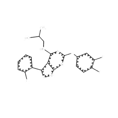 CC(O)CNc1nc(Oc2ccc(F)c(F)c2)nc2[nH]nc(-c3ccccc3Cl)c12